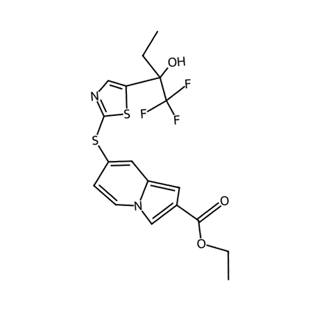 CCOC(=O)c1cc2cc(Sc3ncc(C(O)(CC)C(F)(F)F)s3)ccn2c1